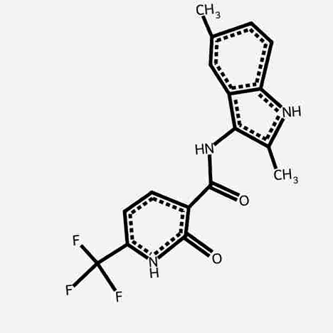 Cc1ccc2[nH]c(C)c(NC(=O)c3ccc(C(F)(F)F)[nH]c3=O)c2c1